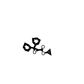 O=C(OC1CC1)C1OC1(c1ccccc1)c1ccccc1